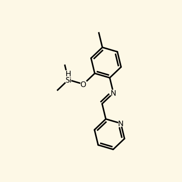 Cc1ccc(N=Cc2ccccn2)c(O[SiH](C)C)c1